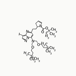 CC(C)(C)OC(=O)N1C=CCC1CCc1cc(N(COCC[Si](C)(C)C)COCC[Si](C)(C)C)n2ncc(I)c2n1